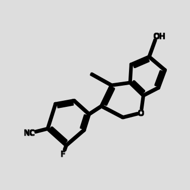 CC1=C(c2ccc(C#N)c(F)c2)COc2ccc(O)cc21